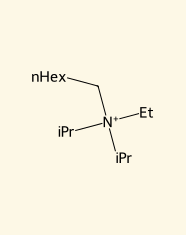 CCCCCCC[N+](CC)(C(C)C)C(C)C